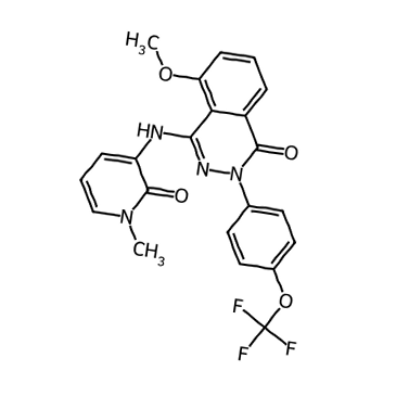 COc1cccc2c(=O)n(-c3ccc(OC(F)(F)F)cc3)nc(Nc3cccn(C)c3=O)c12